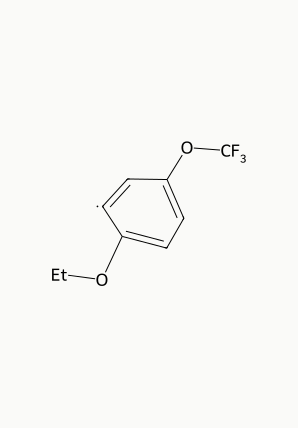 CCOc1[c]cc(OC(F)(F)F)cc1